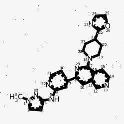 Cn1ccc(Nc2cc(-c3cc4cnccc4c(N4CCC(c5ncco5)CC4)n3)ccn2)n1